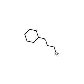 OCCOC1C[CH]CCC1